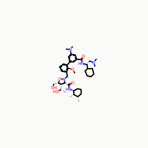 COc1c(CN2O[C@@H](CO)[C@@H]([C@H](C)O)[C@H]2C(=O)N[C@H]2CCC[C@H](C)[C@@H]2C)cccc1-c1cc(C(=O)N[C@H](CN(C)C)C2CCCCC2)cc(N(C)C)c1